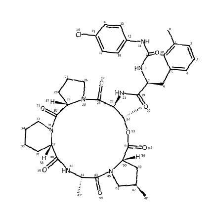 Cc1cccc(C[C@H](NC(=O)Nc2ccc(Cl)cc2)C(=O)N[C@@H]2C(=O)N3CCC[C@H]3C(=O)N3CCCC[C@H]3C(=O)N[C@@H](C)C(=O)N3C[C@H](C)C[C@H]3C(=O)O[C@H]2C)c1